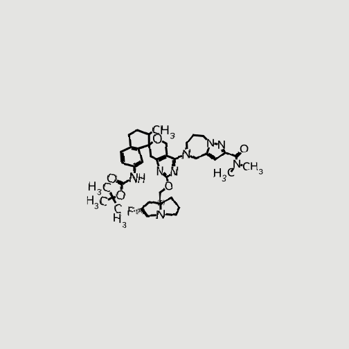 CC1CCc2ccc(NC(=O)OC(C)(C)C)cc2C12Cc1nc(OC[C@@]34CCCN3C[C@H](F)C4)nc(N3CCCn4nc(C(=O)N(C)C)cc4C3)c1CO2